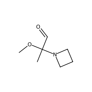 COC(C)(C=O)N1CCC1